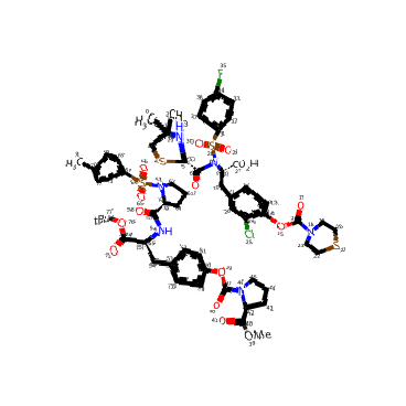 CC1(C)CS[C@@H](C(=O)N([C@@H](Cc2ccc(OC(=O)N3CCSCC3)c(Cl)c2)C(=O)O)S(=O)(=O)c2ccc(F)cc2)N1.COC(=O)C1CCCN1C(=O)Oc1ccc(C[C@H](NC(=O)[C@@H]2CCCN2S(=O)(=O)c2ccc(C)cc2)C(=O)OC(C)(C)C)cc1